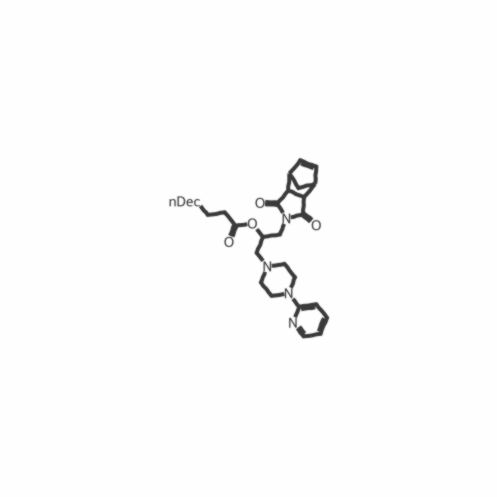 CCCCCCCCCCCCC(=O)OC(CN1CCN(c2ccccn2)CC1)CN1C(=O)C2C3C=CC(C3)C2C1=O